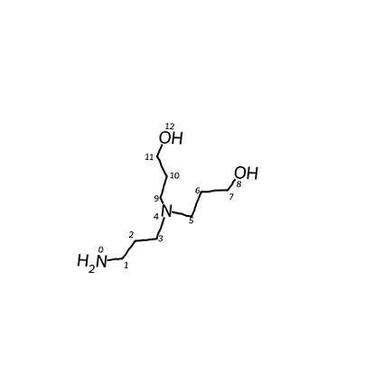 NCCCN(CCCO)CCCO